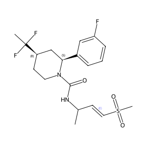 CC(/C=C/S(C)(=O)=O)NC(=O)N1CC[C@@H](C(C)(F)F)C[C@H]1c1cccc(F)c1